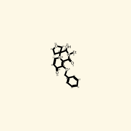 CCN1C(=O)c2c(OCc3ccccc3)c(=O)ccn2C2(CCOC2)C1O